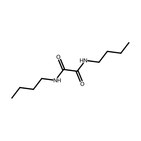 CCCCNC(=O)C(=O)NCCCC